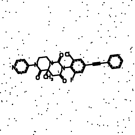 C[C@]12CC(=O)N(c3c(F)cc(C#Cc4ccccc4)cc3Cl)C(=O)N1CCN(c1ccncc1)C2=O